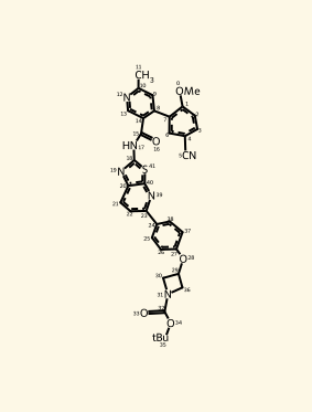 COc1ccc(C#N)cc1-c1cc(C)ncc1C(=O)Nc1nc2ccc(-c3ccc(OC4CN(C(=O)OC(C)(C)C)C4)cc3)nc2s1